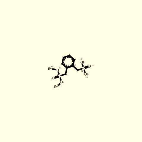 CC(C)OP(=O)(Cc1ccccc1CP(=O)(O)O)OC(C)C